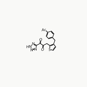 CC(=O)c1ccc(Cc2ccsc2CC(=O)C(=O)c2nn[nH]n2)cc1